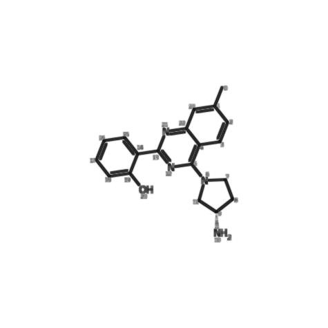 Cc1ccc2c(N3CC[C@H](N)C3)nc(-c3ccccc3O)nc2c1